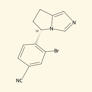 N#Cc1ccc([C@@H]2CCc3cncn32)c(Br)c1